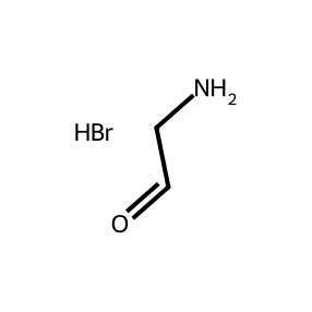 Br.NCC=O